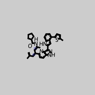 C=C(C)/C=C(\C=C(/C)NC(=O)C1CCCC1)c1ccc2[nH]nc(-c3cc4c(-c5ccc(C)s5)cccc4[nH]3)c2n1